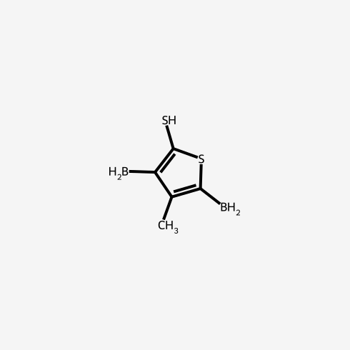 Bc1sc(S)c(B)c1C